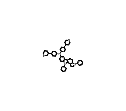 c1ccc(-n2ccc3c2ccc2c4cc(N(c5ccc(-c6ccncc6)cc5)c5ccc(-c6cccnc6)cc5)ccc4n(-c4ccccc4)c23)cc1